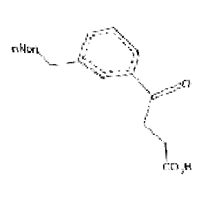 CCCCCCCCCCc1cccc(C(=O)CCC(=O)O)c1